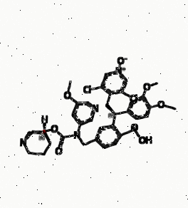 COc1cncc(N(Cc2ccc(C(=O)O)c([C@@H](Cc3c(Cl)c[n+]([O-])cc3Cl)c3ccc(OC)c(OC)c3)c2)C(=O)O[C@H]2CN3CCC2CC3)c1